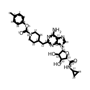 Cc1ccc(OC(=O)N2CCC(Cc3nc(N)c4ncn([C@@H]5O[C@H](C(=O)NC6CC6)C(O)C5O)c4n3)CC2)cc1